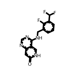 O=c1cc2ncnc(NCc3cccc(C(F)F)c3F)c2c[nH]1